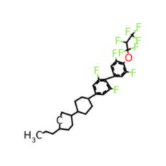 CCCC1CCC(C2CCC(c3cc(F)c(-c4cc(F)c(OC(F)(F)C(F)C(F)(F)F)c(F)c4)c(F)c3)CC2)CC1